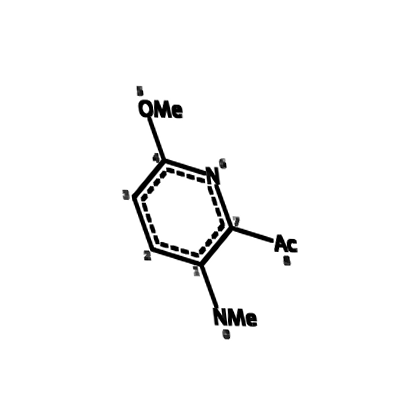 CNc1ccc(OC)nc1C(C)=O